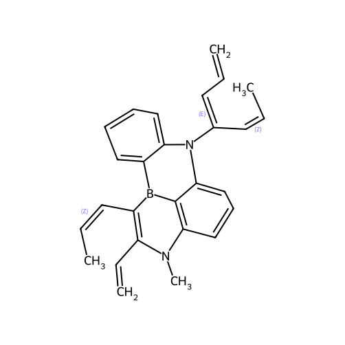 C=C/C=C(\C=C/C)N1c2ccccc2B2C(/C=C\C)=C(C=C)N(C)c3cccc1c32